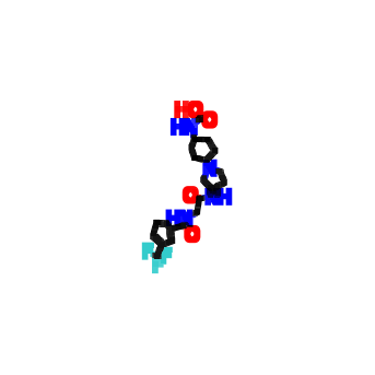 O=C(O)NC1CCC(N2CC[C@@H](NC(=O)CNC(=O)c3cccc(C(F)(F)F)c3)C2)CC1